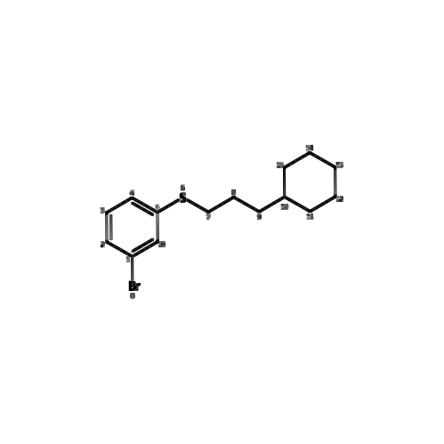 Brc1cccc(SCCCC2CCCCC2)c1